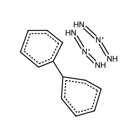 N=[N+]=N.N=[N+]=N.c1ccc(-c2ccccc2)cc1